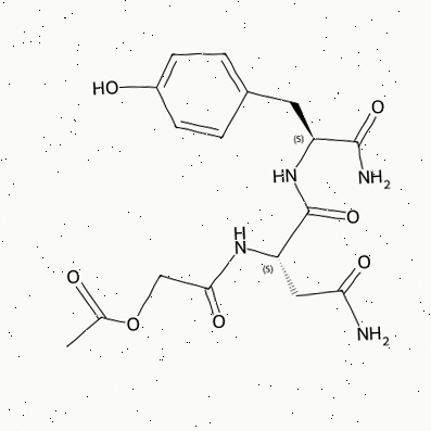 CC(=O)OCC(=O)N[C@@H](CC(N)=O)C(=O)N[C@@H](Cc1ccc(O)cc1)C(N)=O